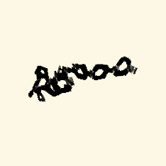 CN(C)C(=O)c1cc2cnc(Nc3ccc(N4CCC(N5CCNCC5)CC4)cn3)nc2n1C1CCCC1